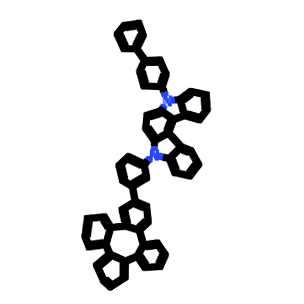 c1ccc(-c2ccc(-n3c4ccccc4c4c5c6ccccc6n(-c6cccc(-c7ccc8c(c7)-c7ccccc7-c7ccccc7-c7ccccc7-8)c6)c5ccc43)cc2)cc1